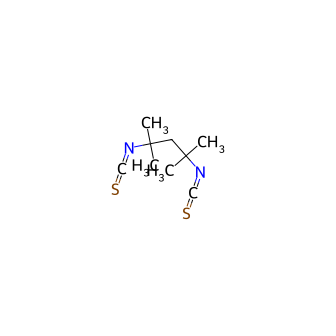 CC(C)(CC(C)(C)N=C=S)N=C=S